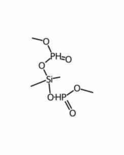 CO[PH](=O)O[Si](C)(C)O[PH](=O)OC